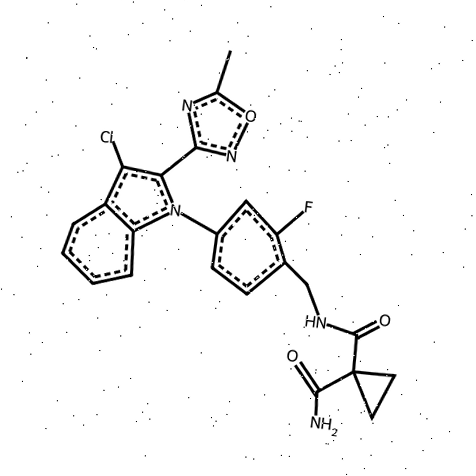 Cc1nc(-c2c(Cl)c3ccccc3n2-c2ccc(CNC(=O)C3(C(N)=O)CC3)c(F)c2)no1